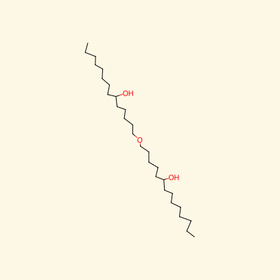 CCCCCCCCC(O)CCCCCOCCCCCC(O)CCCCCCCC